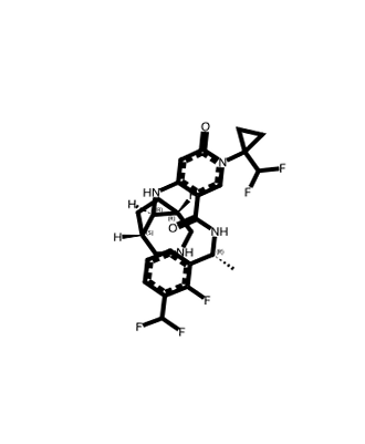 C[C@@H](NC(=O)c1cn(C2(C(F)F)CC2)c(=O)cc1N[C@H]1[C@@H]2CC[C@H]1CNC2)c1cccc(C(F)F)c1F